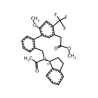 COC(=O)Cc1cc(-c2ccccc2CN(C(C)=O)[C@H]2CCc3ccccc32)c(OC)cc1C(F)(F)F